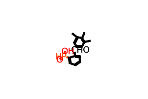 Cc1cccc(C)c1C.O=Cc1ccccc1[PH](=O)O